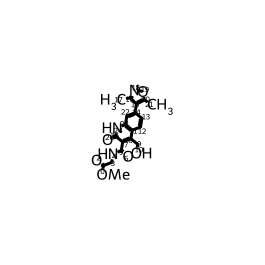 COC(=O)CNC(=O)c1c(CO)c2ccc(-c3c(C)noc3C)cc2[nH]c1=O